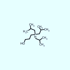 CC(C)C[PH](CCCO)(CC(C)C)CC(C)C